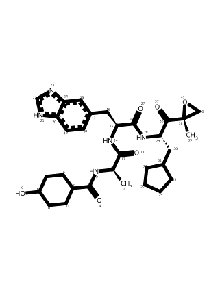 C[C@@H](NC(=O)C1CCC(O)CC1)C(=O)N[C@@H](Cc1ccc2[nH]cnc2c1)C(=O)N[C@@H](CC1CCCC1)C(=O)[C@@]1(C)CO1